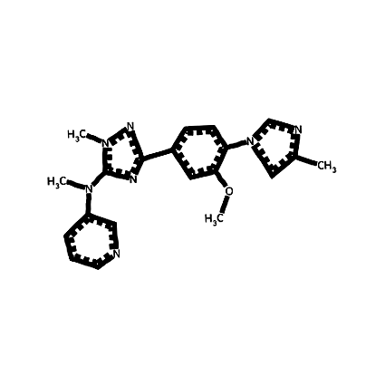 COc1cc(-c2nc(N(C)c3cccnc3)n(C)n2)ccc1-n1cnc(C)c1